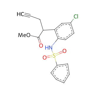 C#CCC(C(=O)OC)c1cc(Cl)ccc1NS(=O)(=O)c1ccccc1